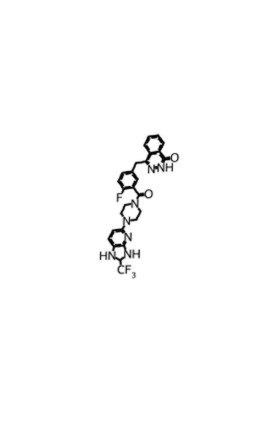 O=C(c1cc(Cc2n[nH]c(=O)c3ccccc23)ccc1F)N1CCN(c2ccc3c(n2)NC(C(F)(F)F)N3)CC1